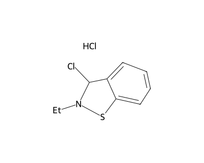 CCN1Sc2ccccc2C1Cl.Cl